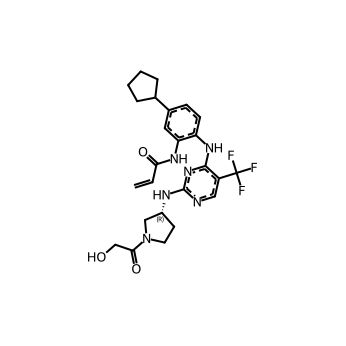 C=CC(=O)Nc1cc(C2CCCC2)ccc1Nc1nc(N[C@@H]2CCN(C(=O)CO)C2)ncc1C(F)(F)F